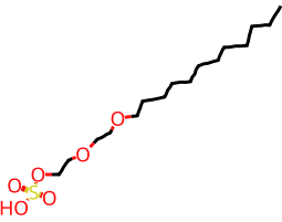 CCCCCCCCCCCCOCCOCCOS(=O)(=O)O